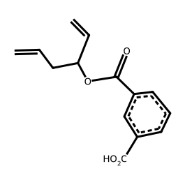 C=CCC(C=C)OC(=O)c1cccc(C(=O)O)c1